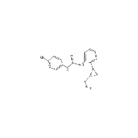 NCC1CC1c1ccccc1NC(=O)Nc1ccc(Cl)cc1